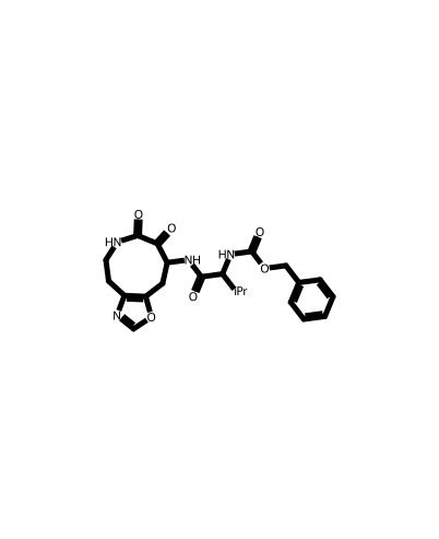 CC(C)C(NC(=O)OCc1ccccc1)C(=O)NC1Cc2ocnc2CCNC(=O)C1=O